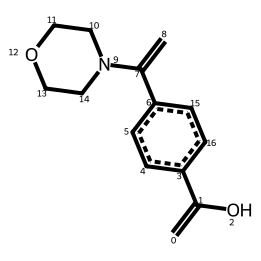 C=C(O)c1ccc(C(=C)N2CCOCC2)cc1